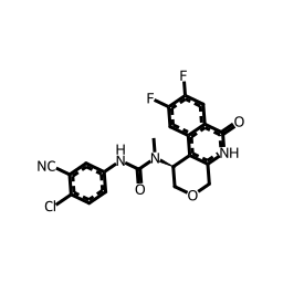 CN(C(=O)Nc1ccc(Cl)c(C#N)c1)[C@@H]1COCc2[nH]c(=O)c3cc(F)c(F)cc3c21